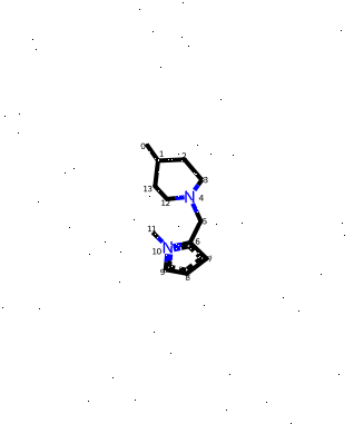 CC1CCN(Cc2cccn2C)CC1